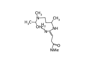 C=N/C(=C\CC(=O)NC)NC(C)CCN(C)C(C)O